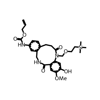 C=CCOC(=O)Nc1ccc2c(c1)CNC(=O)c1cc(OC)c(O)cc1N(COCC[Si](C)(C)C)C(=O)CC2